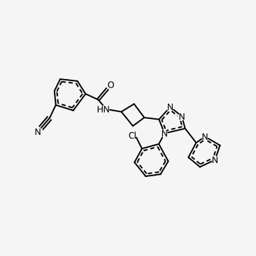 N#Cc1cccc(C(=O)NC2CC(c3nnc(-c4ccncn4)n3-c3ccccc3Cl)C2)c1